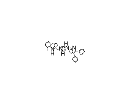 Cc1cccc(C)c1NC(=O)CN1C[C@@H]2C[C@H]1CN2Cc1nc(-c2ccccc2)c(-c2ccccc2)o1